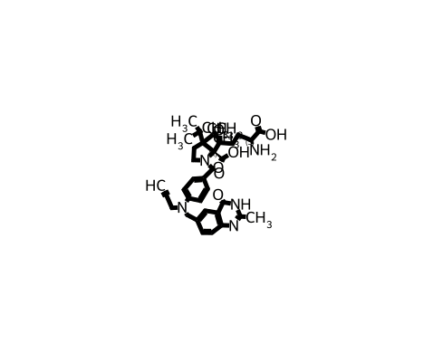 C#CCN(Cc1ccc2nc(C)[nH]c(=O)c2c1)c1ccc(C(=O)N2CCC(C(C)(C)C)(C(C)(C)C)[C@]2(C(=O)O)C(=O)CC[C@H](N)C(=O)O)cc1